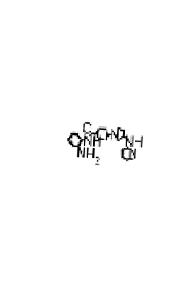 Nc1ccccc1NC(=O)c1ccc(N2CCC(Nc3ccccn3)C2)cc1